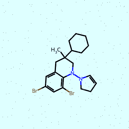 CC1(C2CCCCC2)Cc2cc(Br)cc(Br)c2N(N2C=CCC2)C1